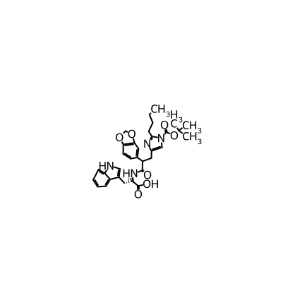 CCCCc1nc(CC(C(=O)N[C@@H](Cc2c[nH]c3ccccc23)C(=O)O)c2ccc3c(c2)OCO3)cn1C(=O)OC(C)(C)C